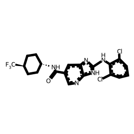 O=C(N[C@H]1CC[C@H](C(F)(F)F)CC1)c1cnc2[nH]c(Nc3c(Cl)cccc3Cl)nc2c1